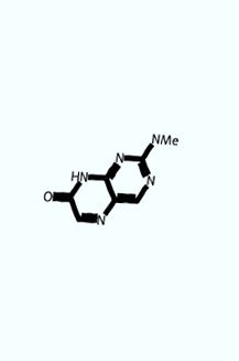 CNc1ncc2ncc(=O)[nH]c2n1